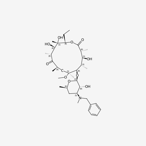 CC[C@H]1OC(=O)[C@H](C)[C@@H](O)[C@H](C)[C@@H](O[C@@H]2O[C@H](C)C[C@H](N(C)Cc3ccccc3)[C@H]2O)[C@@](C)(OC)C[C@@H](C)C(=O)[C@H](C)[C@@H](O)[C@]1(C)O